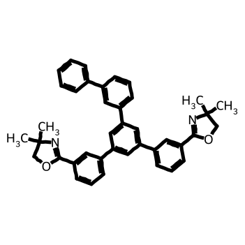 CC1(C)COC(c2cccc(-c3cc(-c4cccc(C5=NC(C)(C)CO5)c4)cc(-c4cccc(-c5ccccc5)c4)c3)c2)=N1